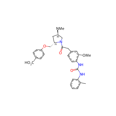 CN[C@@H]1C[C@@H](COc2ccc(C(=O)O)cc2)N(C(=O)Cc2ccc(NC(=O)Nc3ccccc3C)c(OC)c2)C1